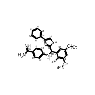 CCOc1cc(OC(C)C)c(F)c(C(Nc2ccc(C(=N)N)cc2)c2nc(-c3ccccc3)cs2)c1